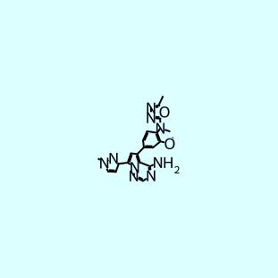 COc1cc(-c2cc(-c3ccn(C)n3)n3ncnc(N)c23)ccc1N(C)c1nnc(C)o1